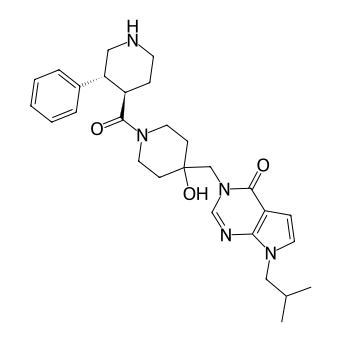 CC(C)Cn1ccc2c(=O)n(CC3(O)CCN(C(=O)[C@@H]4CCNC[C@H]4c4ccccc4)CC3)cnc21